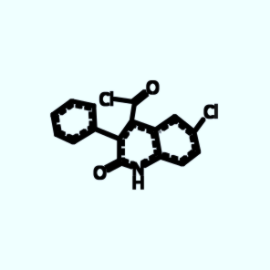 O=C(Cl)c1c(-c2ccccc2)c(=O)[nH]c2ccc(Cl)cc12